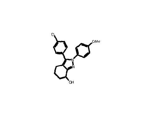 COc1ccc(-n2nc3c(c2-c2ccc(Cl)cc2)CCCC3O)cc1